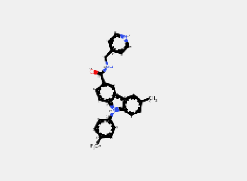 Cc1ccc2c(c1)c1cc(C(=O)NCc3ccncc3)ccc1n2-c1ccc(C(F)(F)F)cc1